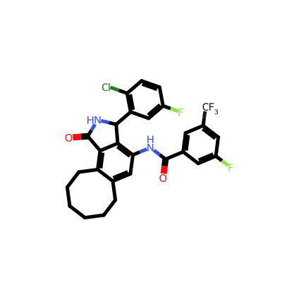 O=C(Nc1cc2c(c3c1C(c1cc(F)ccc1Cl)NC3=O)CCCCCC2)c1cc(F)cc(C(F)(F)F)c1